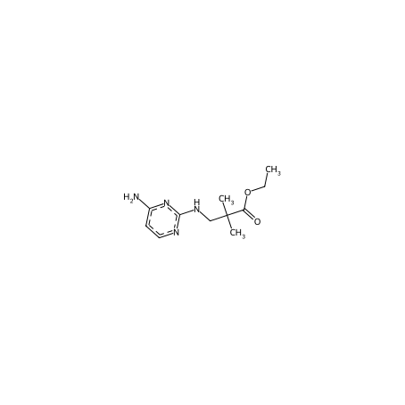 CCOC(=O)C(C)(C)CNc1nccc(N)n1